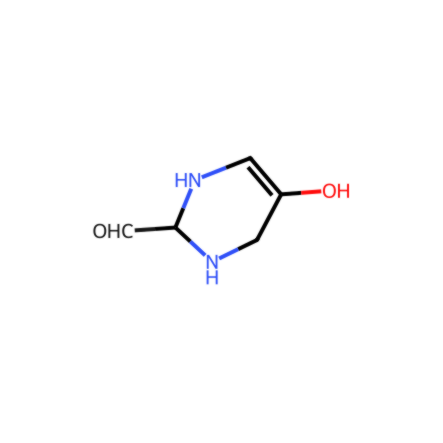 O=CC1NC=C(O)CN1